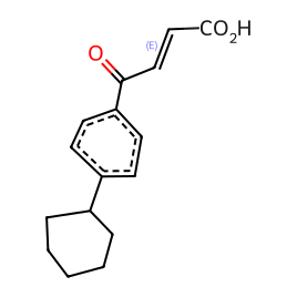 O=C(O)/C=C/C(=O)c1ccc(C2CCCCC2)cc1